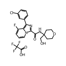 O=C(NC1(CO)CCOCC1)c1nc(-c2cccc(Cl)c2)c2c(F)cccn12.O=C(O)C(F)(F)F